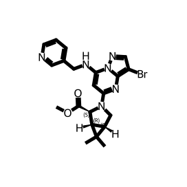 COC(=O)[C@@H]1[C@@H]2[C@H](CN1c1cc(NCc3cccnc3)n3ncc(Br)c3n1)C2(C)C